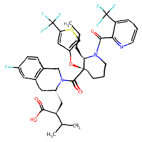 CCC[C@H]1N(C(=O)c2ncccc2C(F)(F)F)CCC[C@]1(Oc1csc(C(F)(F)F)c1)C(=O)N1Cc2ccc(F)cc2C[C@H]1C[C@H](C(=O)O)C(C)C